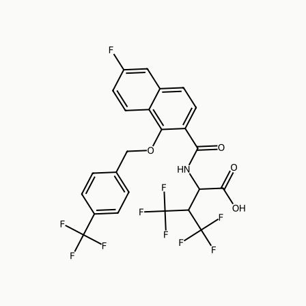 O=C(NC(C(=O)O)C(C(F)(F)F)C(F)(F)F)c1ccc2cc(F)ccc2c1OCc1ccc(C(F)(F)F)cc1